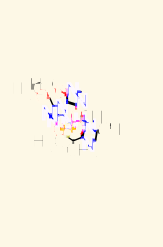 COCc1nnc(NS(=O)(=O)[C@@H](C)[C@H](C)c2cnc(C)cn2)n1-c1c(OC)ncnc1OC